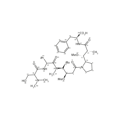 CC[C@H](C)[C@@H]([C@@H](CC(=O)N1CCCC1[C@H](OC)[C@@H](C)C(=O)N[C@@H](Cc1ccccc1)C(=O)O)OC)N(C)C(=O)C(NC(=O)C(CO)N(C)C)C(C)C